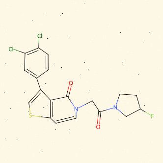 O=C(Cn1ccc2scc(-c3ccc(Cl)c(Cl)c3)c2c1=O)N1CCC(F)C1